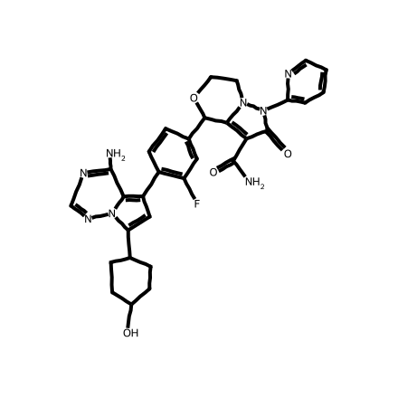 NC(=O)c1c2n(n(-c3ccccn3)c1=O)CCOC2c1ccc(-c2cc(C3CCC(O)CC3)n3ncnc(N)c23)c(F)c1